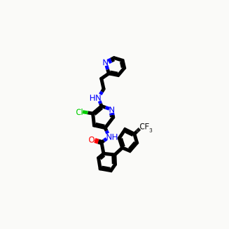 O=C(Nc1cnc(NCCc2ccccn2)c(Cl)c1)c1ccccc1-c1ccc(C(F)(F)F)cc1